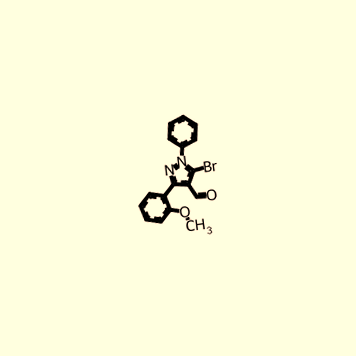 COc1ccccc1-c1nn(-c2ccccc2)c(Br)c1C=O